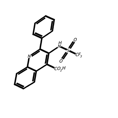 O=C(O)c1c(NS(=O)(=O)C(F)(F)F)c(-c2ccccc2)nc2ccccc12